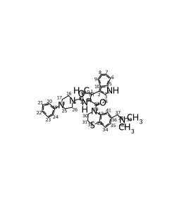 C[C@@H](c1c[nH]c2ccccc12)[C@@H](NC(=O)N1CCN(c2ccccc2)CC1)C(=O)N1CCSc2ccc(CN(C)C)cc21